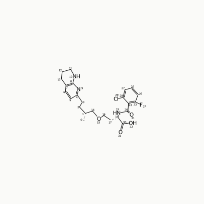 C[C@H](CCc1ccc2c(n1)NCCC2)COCC[C@H](NC(=O)c1c(F)cccc1Cl)C(=O)O